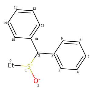 [CH2]C[S+]([O-])C(c1ccccc1)c1ccccc1